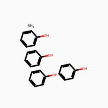 Oc1ccccc1.Oc1ccccc1.Oc1ccccc1.Oc1ccccc1.[SiH4]